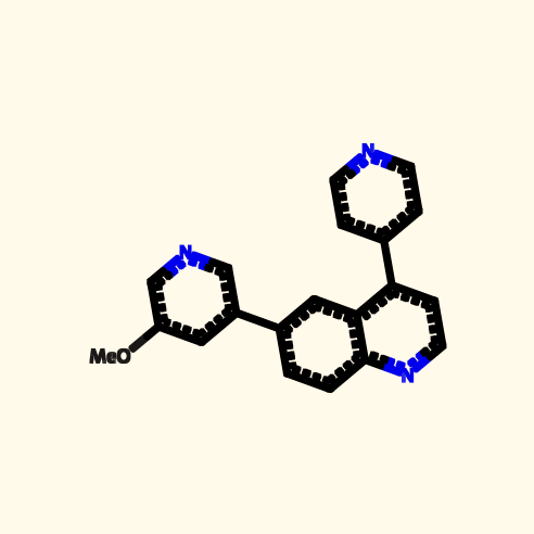 COc1cncc(-c2ccc3nccc(-c4ccncc4)c3c2)c1